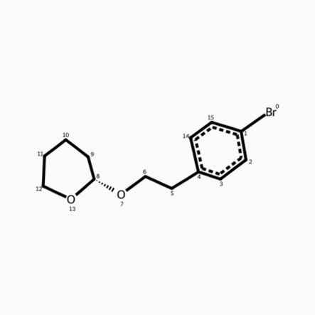 Brc1ccc(CCO[C@H]2CCCCO2)cc1